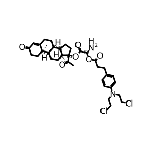 CC(=O)[C@@]1(OC(=O)[C@@H](N)OC(=O)CCc2ccc(N(CCCl)CCCl)cc2)CC[C@H]2[C@@H]3CCC4=CC(=O)CC[C@]4(C)[C@H]3CC[C@@]21C